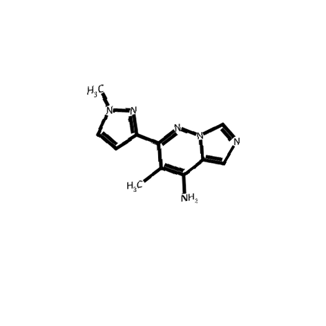 Cc1c(-c2ccn(C)n2)nn2cncc2c1N